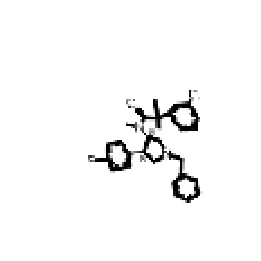 CN(C(=O)C(C)(C)c1cccc(Cl)c1)[C@@H]1CN(Cc2ccccc2)C[C@H]1c1ccc(F)cc1